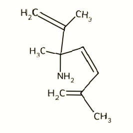 C=C(C)/C=C\C(C)(N)C(=C)C